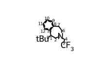 CC(C)(C)C1CN(CC(F)(F)F)CCc2ccccc21